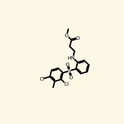 COC(=O)CCNc1ccccc1S(=O)(=O)c1ccc(Cl)c(C)c1Cl